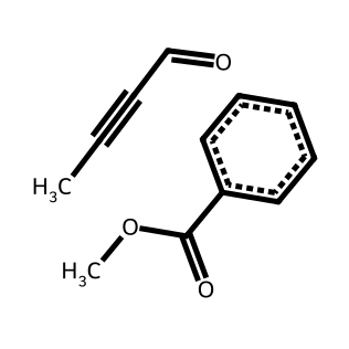 CC#CC=O.COC(=O)c1ccccc1